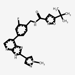 Cn1cc(-c2nc3c(-c4ccc(CNC(=O)c5cc(C(C)(C)C)on5)c(F)c4)ccnc3[nH]2)cn1